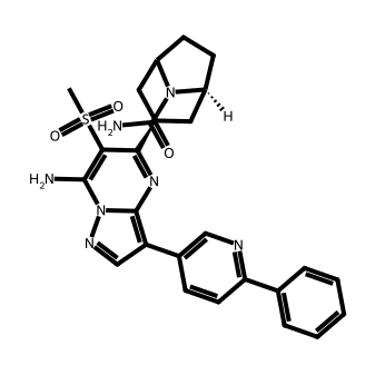 CS(=O)(=O)c1c([C@H]2CC3CC[C@@H](C2)N3C(N)=O)nc2c(-c3ccc(-c4ccccc4)nc3)cnn2c1N